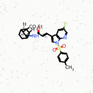 CCOC(=O)[C@@H]1C2CCC(CC2)[C@H]1NC(=O)/C=C/c1cn(S(=O)(=O)c2ccc(C)cc2)c2ncc(F)cc12